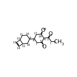 CCC(=O)C1C(=O)CC(C2CCC3C=CC3C2)CC1=O